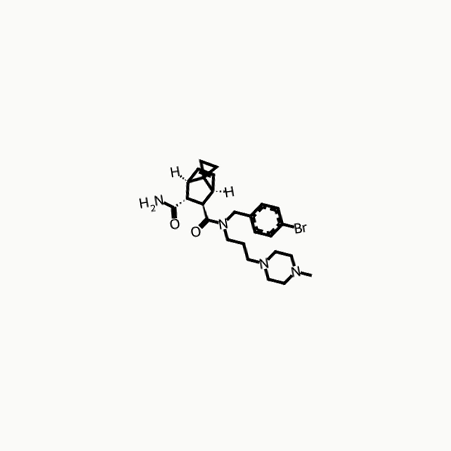 CN1CCN(CCCN(Cc2ccc(Br)cc2)C(=O)[C@H]2[C@H](C(N)=O)[C@H]3C=C[C@@H]2C32CC2)CC1